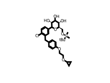 CC(C)(C)[Si](C)(C)OC[C@H]1OC(c2ccc(Cl)c(Cc3ccc(OCCOC4CC4)cc3)c2)[C@H](O)C(O)[C@@H]1O